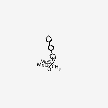 COC(=O)C(C)(CN1CC=C(c2ccc(C3=CCCC=C3)cc2)CC1)SC